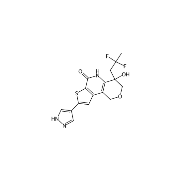 CC(F)(F)CC1(O)COCc2c1[nH]c(=O)c1sc(-c3cn[nH]c3)cc21